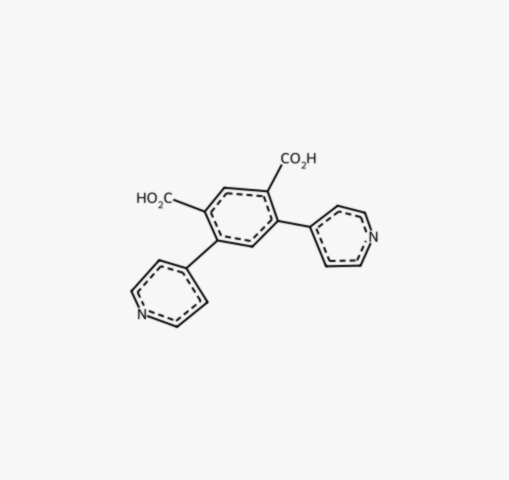 O=C(O)c1cc(C(=O)O)c(-c2ccncc2)cc1-c1ccncc1